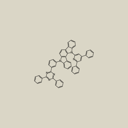 c1ccc(-c2cc(-c3ccccc3)nc(-n3c4ccccc4c4ccc5c(c6ccccc6n5-c5cccc(-c6nc(-c7ccccc7)nc(-c7ccccc7)n6)c5)c43)c2)cc1